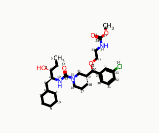 CC[C@@H](O)[C@H](CC1CCCCC1)NC(=O)N1CCC[C@@H]([C@@H](OCCNC(=O)OC)c2cccc(Cl)c2)C1